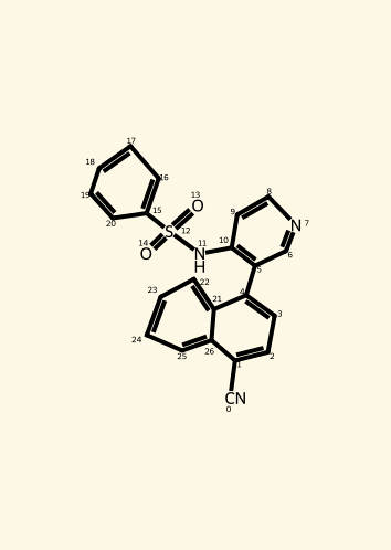 N#Cc1ccc(-c2cnccc2NS(=O)(=O)c2ccccc2)c2ccccc12